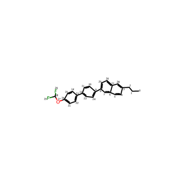 CCCc1ccc2cc(-c3ccc(-c4ccc(OC(F)F)cc4)cc3)ccc2c1